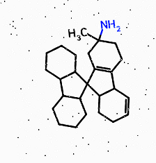 CC1(N)CCC2=C(C1)C1(C3CCC=CC23)C2CCCCC2C2CCCCC21